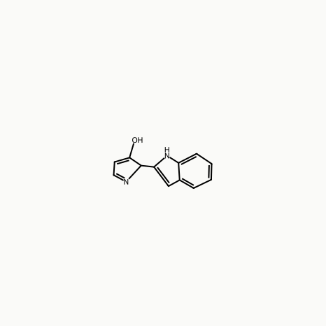 OC1=CC=NC1c1cc2ccccc2[nH]1